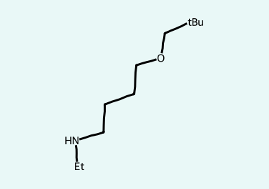 CCNCCCCOCC(C)(C)C